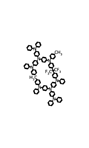 Cc1ccc(N(c2ccccc2)c2ccc(N(c3ccc(N(c4ccccc4)c4ccccc4)cc3)c3ccc(N(c4ccccc4)c4ccc(C(c5ccc(N(c6ccc(C)cc6)c6ccc(N(c7ccc(N(c8ccccc8)c8ccccc8)cc7)c7ccc(N(c8ccccc8)c8ccccc8)cc7)cc6)cc5)(C(F)(F)F)C(F)(F)F)cc4)cc3)cc2)cc1